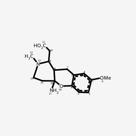 COc1ccc2c(c1)CC1C(CC(=O)O)N(C)CCC1(N)O2